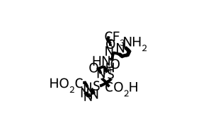 Nc1cccc(C(=NOCC(F)(F)F)C(=O)NC2C(=O)N3CC(CSc4nnnn4CC(=O)O)(C(=O)O)CS[C@H]23)n1